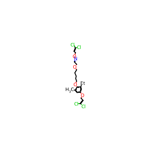 CCc1cc(OCC=C(Cl)Cl)cc(C)c1OCCCCCOCC=NOCC=C(Cl)Cl